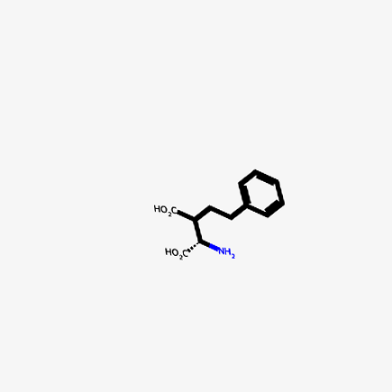 N[C@H](C(=O)O)C(CCc1ccccc1)C(=O)O